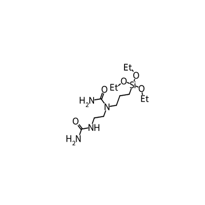 CCO[Si](CCCN(CCNC(N)=O)C(N)=O)(OCC)OCC